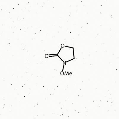 CON1CCOC1=O